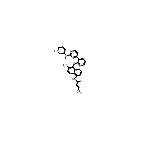 Cc1ccc2c(NC(=O)C=CC(F)(F)F)cccc2c1Oc1ncccc1-c1ccnc(NC2CCCNC2)n1